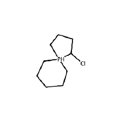 ClC1CCC[PH]12CCCCC2